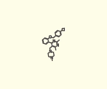 Cc1nc(C)c(CN2CCN(C)CC2)c(-c2ccccc2OCc2ccc(Cl)cc2)n1